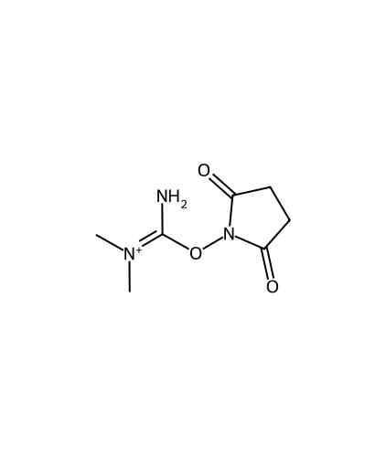 C[N+](C)=C(N)ON1C(=O)CCC1=O